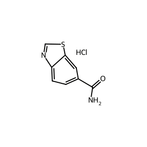 Cl.NC(=O)c1ccc2ncsc2c1